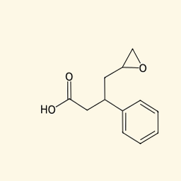 O=C(O)CC(CC1CO1)c1ccccc1